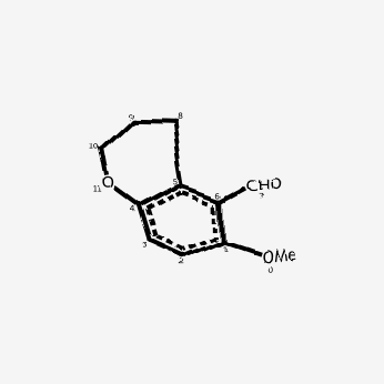 COc1ccc2c(c1C=O)CCCO2